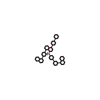 c1ccc(-c2ccc(-c3ccc(N(c4ccc(-c5cccc(-c6cccc7ccccc67)c5)cc4)c4cc(-c5cccc6ccccc56)ccc4-c4ccccc4)cc3)cc2)cc1